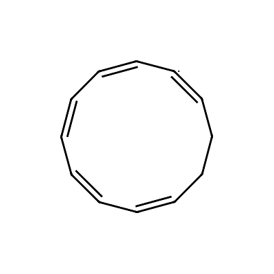 [C]1=CCCC=CC=CC=CC=C1